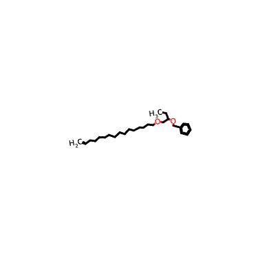 C=CCCCCCCCCCCCCCCOCC(CC)OCc1ccccc1